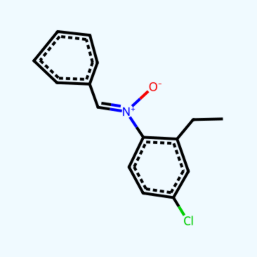 CCc1cc(Cl)ccc1[N+]([O-])=Cc1ccccc1